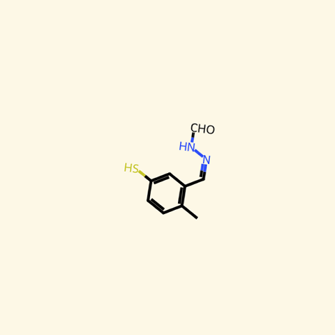 Cc1ccc(S)cc1/C=N\NC=O